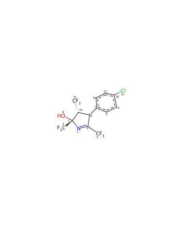 O[C@@]1(C(F)(F)F)N=C(C(F)(F)F)C(c2ccc(Cl)cc2)[C@H]1C(F)(F)F